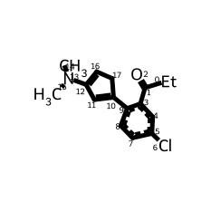 CCC(=O)c1cc(Cl)ccc1C1=CC(N(C)C)=CC1